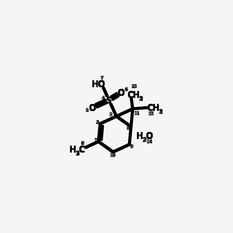 CC1=CC2(S(=O)(=O)O)C(CC1)C2(C)C.O